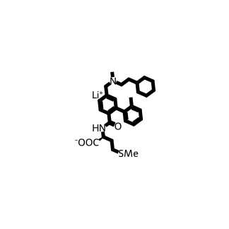 CSCC[C@H](NC(=O)c1ccc(CN(C)CCC2CCCCC2)cc1-c1ccccc1C)C(=O)[O-].[Li+]